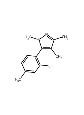 Cc1nn(C)c(-c2ccc(C(F)(F)F)cc2Cl)c1C